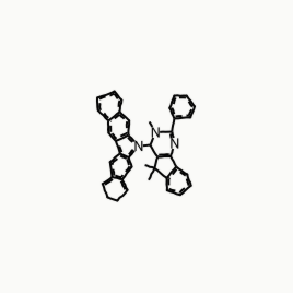 CN1C(c2ccccc2)=NC2=C(C1n1c3cc4c(cc3c3cc5ccccc5cc31)=CCCC=4)C(C)(C)c1ccccc12